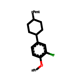 CCCCCC1CCC(c2ccc(OCCC)c(F)c2)CC1